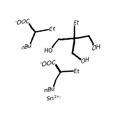 CCC(CO)(CO)CO.CCCCC(CC)C(=O)[O-].CCCCC(CC)C(=O)[O-].[Sn+2]